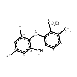 CCOC(=O)c1c(C)cccc1Oc1c(F)cc(F)cc1C#N